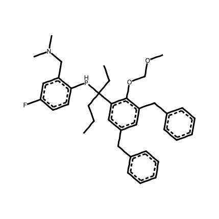 CCCC(CC)(Pc1ccc(F)cc1CN(C)C)c1cc(Cc2ccccc2)cc(Cc2ccccc2)c1OCOC